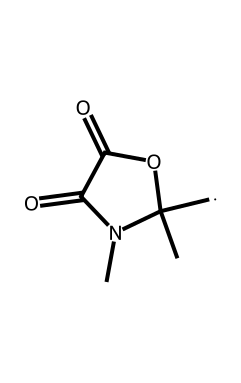 [CH2]C1(C)OC(=O)C(=O)N1C